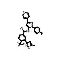 Cc1cc(-c2cc(C(=O)Nc3cc(-c4ccncc4)nn3-c3ccc(F)cc3)ccc2C(F)(F)F)no1